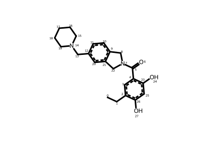 CCc1cc(C(=O)N2Cc3ccc(CN4CCCCC4)cc3C2)c(O)cc1O